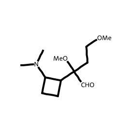 COCCC(C=O)(OC)C1CCC1N(C)C